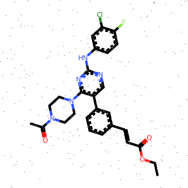 CCOC(=O)/C=C/c1cccc(-c2cnc(Nc3ccc(F)c(Cl)c3)nc2N2CCN(C(C)=O)CC2)c1